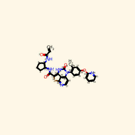 C=CC(=O)NC1CCCC1NC(=O)c1sc2nccc3c2c1NC(=O)N3c1ccc(Oc2ccccn2)cc1C